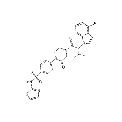 CC(C)[C@H](C(=O)N1CCN(c2ccc(S(=O)(=O)Nc3nccs3)cc2)C(=O)C1)n1ccc2c(F)cccc21